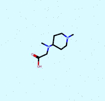 CN1CCC(N(C)CC(=O)O)CC1